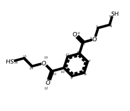 O=C(OCCS)c1cccc(C(=O)OCCS)c1